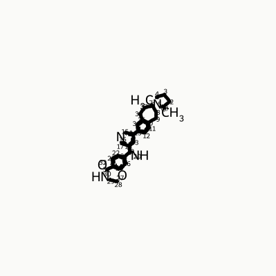 C[C@H]1CCCN1C1(C)CCc2ccc(-c3cncc(C(=N)c4ccc5c(c4)OCCNC5=O)c3)cc2CC1